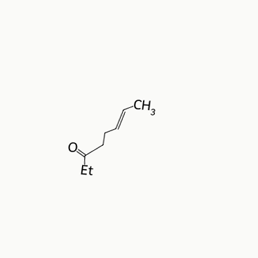 CC=CCCC(=O)CC